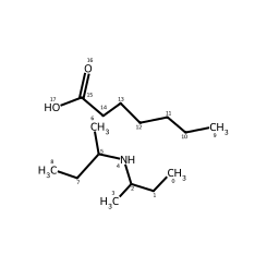 CCC(C)NC(C)CC.CCCCCCC(=O)O